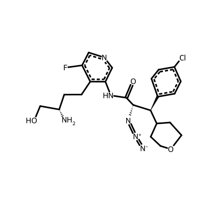 [N-]=[N+]=N[C@H](C(=O)Nc1cncc(F)c1CC[C@H](N)CO)[C@@H](c1ccc(Cl)cc1)C1CCOCC1